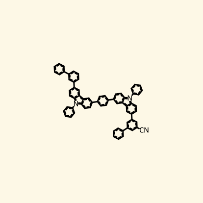 N#Cc1cc(-c2ccccc2)cc(-c2ccc3c(c2)c2cc(-c4ccc(-c5ccc6c(c5)c5cc(-c7cccc(-c8ccccc8)c7)ccc5n6-c5ccccc5)cc4)ccc2n3-c2ccccc2)c1